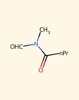 CCCC(=O)N(C)C=O